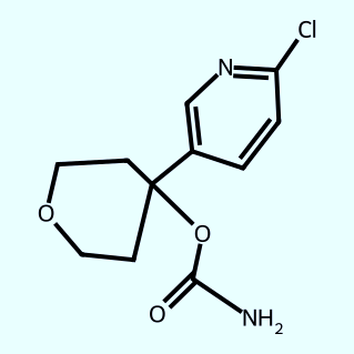 NC(=O)OC1(c2ccc(Cl)nc2)CCOCC1